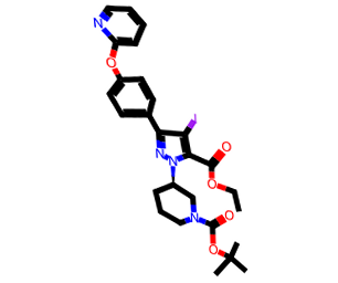 CCOC(=O)c1c(I)c(-c2ccc(Oc3ccccn3)cc2)nn1[C@@H]1CCCN(C(=O)OC(C)(C)C)C1